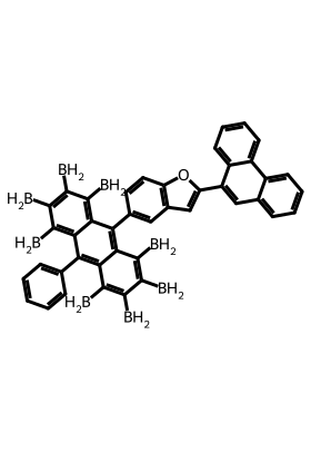 Bc1c(B)c(B)c2c(-c3ccc4oc(-c5cc6ccccc6c6ccccc56)cc4c3)c3c(B)c(B)c(B)c(B)c3c(-c3ccccc3)c2c1B